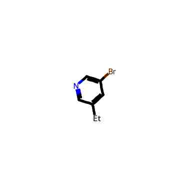 CCc1cncc(Br)c1